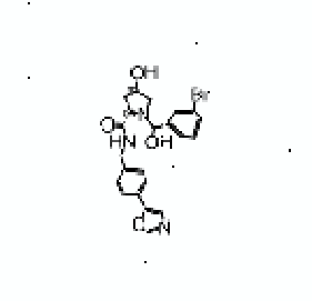 O=C(NCc1ccc(-c2cnco2)cc1)[C@@H]1C[C@@H](O)CN1C(O)c1cccc(Br)c1